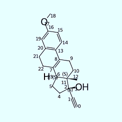 C#C[C@]1(O)CC[C@H]2C3=C(CC[C@@]21C)c1ccc(OC)cc1CC3